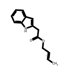 C/C=C/COC(=O)Cc1cc2ccccc2[nH]1